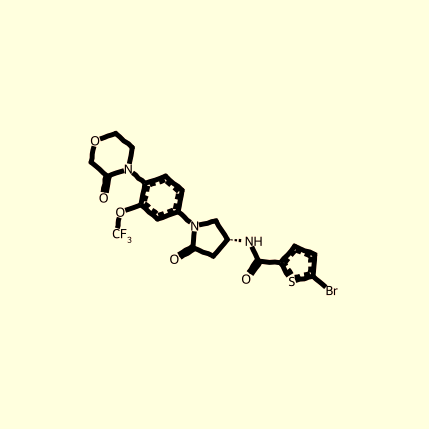 O=C(N[C@@H]1CC(=O)N(c2ccc(N3CCOCC3=O)c(OC(F)(F)F)c2)C1)c1ccc(Br)s1